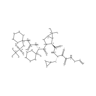 C=CCNC(=O)C(=O)[C@H](CC1CC1)NC(=O)[C@@H]1C2C(CN1C(=O)[C@@H](NC(=O)NC1(CS(=O)(=O)C(C)(C)C)CCCCC1)C1(C)CCCCC1)C2(C)C